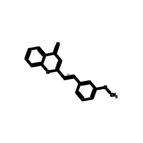 COc1cccc(/C=C/c2cc(=O)c3ccccc3o2)c1